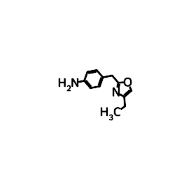 CCc1coc(Cc2ccc(N)cc2)n1